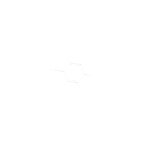 [2H]c1c(O)c([2H])c(F)c(F)c1F